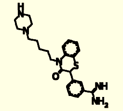 N=C(N)c1cccc(C2Sc3ccccc3N(CCCCCN3CCNCC3)C2=O)c1